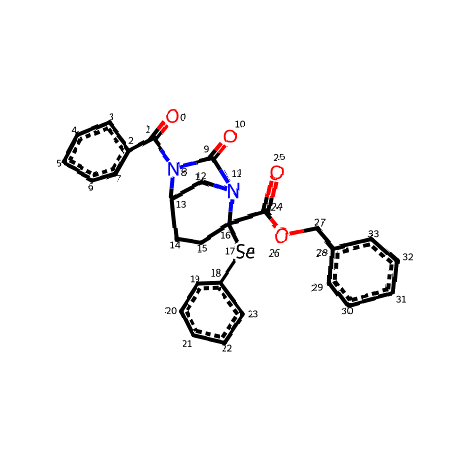 O=C(c1ccccc1)N1C(=O)N2CC1CCC2([Se]c1ccccc1)C(=O)OCc1ccccc1